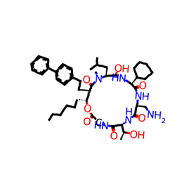 CCCCCC[C@H]1OC(=O)CNC(=O)[C@H]([C@H](C)O)NC(=O)[C@H](CN)NC(=O)[C@H](C2CCCCC2)NC(O)[C@H](CC(C)C)N(C)C(=O)[C@@H]1CCc1ccc(-c2ccccc2)cc1